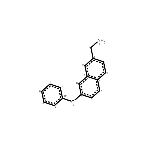 NCc1ccc2ccc(Oc3ccccc3)cc2c1